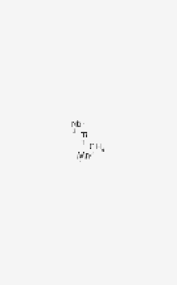 C.[Mn].[Nb].[Ti]